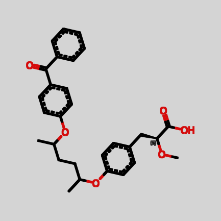 CO[C@@H](Cc1ccc(OC(C)CCC(C)Oc2ccc(C(=O)c3ccccc3)cc2)cc1)C(=O)O